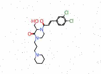 O=C1[C@@H](CO)N(C(=O)/C=C/c2ccc(Cl)c(Cl)c2)CCN1CCCN1CCCCC1